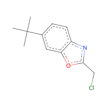 CC(C)(C)c1ccc2nc(CCl)oc2c1